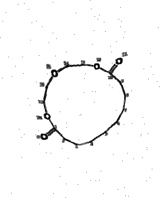 O=C1CCCCCCCCC(=O)OCCOCCO1